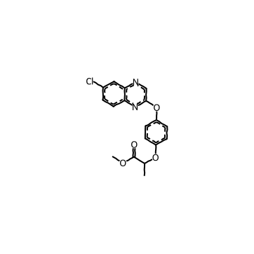 COC(=O)C(C)Oc1ccc(Oc2cnc3cc(Cl)ccc3n2)cc1